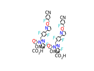 CO[C@H]1COC[C@H]1n1c(Cc2cc(F)c(-c3cccc(OCc4ccc(C#N)cc4F)n3)cc2F)nc2c(F)cc(C(=O)O)cc21.CO[C@H]1COC[C@H]1n1c(Cc2cc(F)c(-c3cccc(OCc4ccc(C#N)cc4F)n3)cc2F)nc2c(F)cc(C(=O)O)cc21